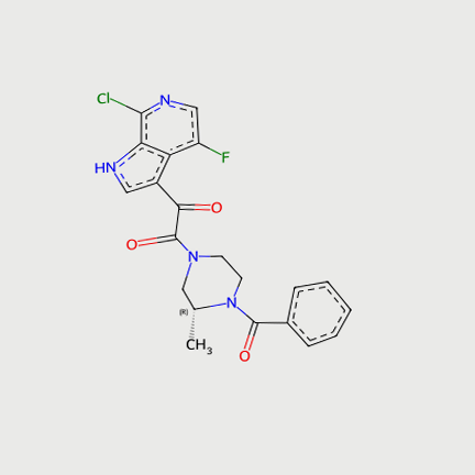 C[C@@H]1CN(C(=O)C(=O)c2c[nH]c3c(Cl)ncc(F)c23)CCN1C(=O)c1ccccc1